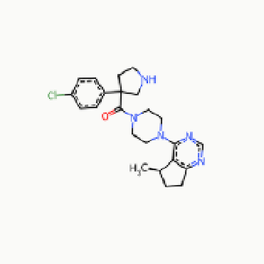 C[C@@H]1CCc2ncnc(N3CCN(C(=O)C4(c5ccc(Cl)cc5)CCNC4)CC3)c21